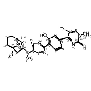 CN(c1cnc(-c2ccc(-c3nc(=O)n(C)cc3F)cc2O)nn1)C1C[C@H]2CCC[C@H](C1)N2